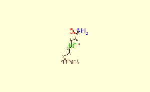 CCCCCCCCCCCC(N)=O.Cl